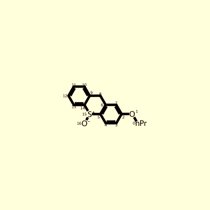 CCCOc1ccc2c(c1)Cc1ccccc1[S+]2[O-]